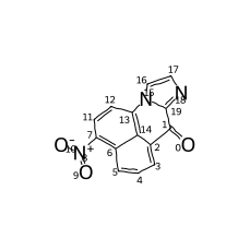 O=c1c2cccc3c([N+](=O)[O-])ccc(c32)n2ccnc12